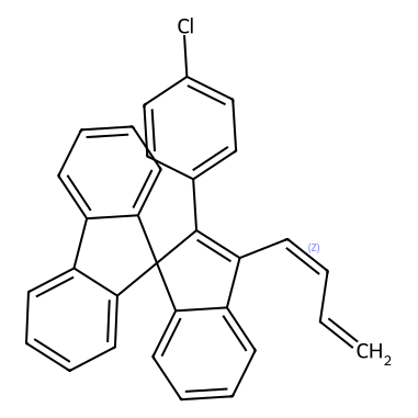 C=C/C=C\C1=C(c2ccc(Cl)cc2)C2(c3ccccc31)c1ccccc1-c1ccccc12